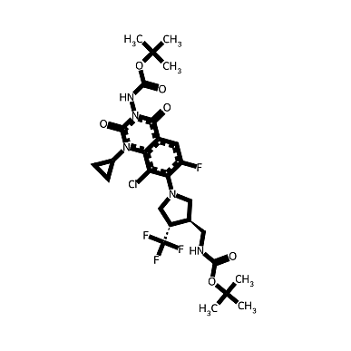 CC(C)(C)OC(=O)NC[C@@H]1CN(c2c(F)cc3c(=O)n(NC(=O)OC(C)(C)C)c(=O)n(C4CC4)c3c2Cl)C[C@H]1C(F)(F)F